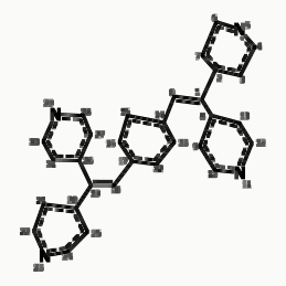 C(=C(c1ccncc1)c1ccncc1)c1ccc(C=C(c2ccncc2)c2ccncc2)cc1